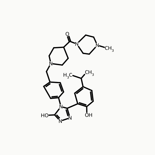 CC(C)c1ccc(O)c(-c2nnc(O)n2-c2ccc(CN3CCC(C(=O)N4CCN(C)CC4)CC3)cc2)c1